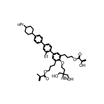 C=C(C)C(=O)OCCCc1cc(-c2ccc(-c3ccc(C4CCC(CCC)CC4)cc3)cc2CC)cc(CCCOC(=O)C(=C)O)c1OCCC(CO)(CO)CCCC